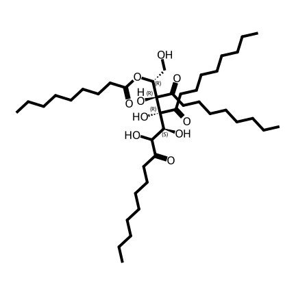 CCCCCCCCC(=O)O[C@H](CO)[C@](O)(C(=O)CCCCCCCC)[C@@](O)(C(=O)CCCCCCCC)[C@@H](O)C(O)C(=O)CCCCCCCC